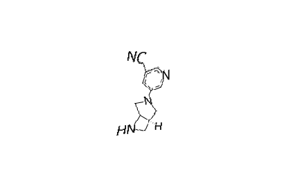 N#Cc1cncc(N2CC3NC[C@@H]3C2)c1